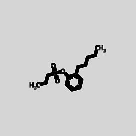 CCCCCc1ccccc1OS(=O)(=O)CCC